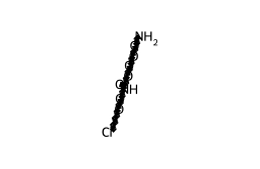 NCCOCCOCCOCCOCCC(=O)NCCOCCOCCCCCCCl